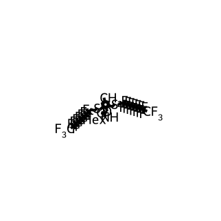 CCCCCCNC(=O)Oc1c(CSCCC(F)(F)C(F)(F)C(F)(F)C(F)(F)C(F)(F)C(F)(F)C(F)(F)C(F)(F)F)cc(C)cc1CSCCC(F)(F)C(F)(F)C(F)(F)C(F)(F)C(F)(F)C(F)(F)C(F)(F)C(F)(F)F